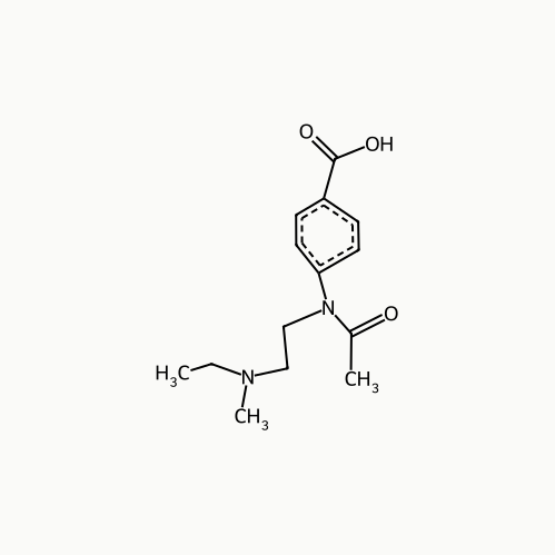 CCN(C)CCN(C(C)=O)c1ccc(C(=O)O)cc1